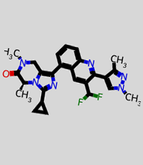 Cc1nn(C)cc1-c1nc2cccc(-c3nc(C4CC4)n4c3CN(C)C(=O)[C@@H]4C)c2cc1C(F)F